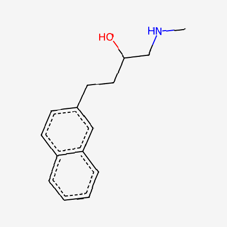 CNCC(O)CCc1ccc2ccccc2c1